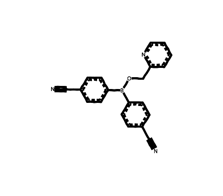 N#Cc1ccc(B(OCc2ccccn2)c2ccc(C#N)cc2)cc1